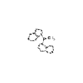 BP(c1cccc2ccccc12)c1cccc2ccccc12